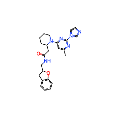 Cc1cc(N2CCCCC2CC(=O)NCC2Cc3ccccc3O2)nc(-n2ccnc2)n1